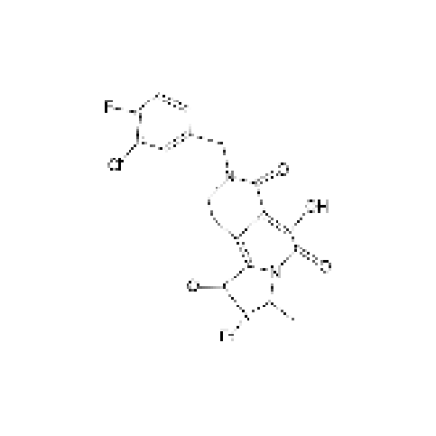 CCN1C(=O)c2c3c(c(O)c(=O)n2C1C)C(=O)N(Cc1ccc(F)c(Cl)c1)CC3